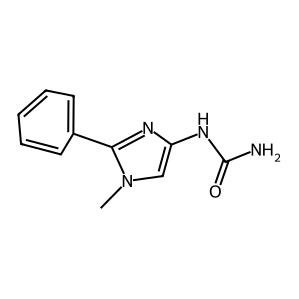 Cn1cc(NC(N)=O)nc1-c1ccccc1